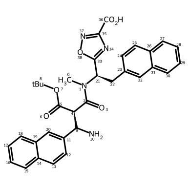 CN(C(=O)[C@H](C(=O)OC(C)(C)C)C(N)c1ccc2ccccc2c1)[C@H](Cc1ccc2ccccc2c1)c1nc(C(=O)O)no1